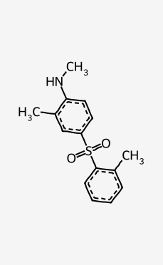 CNc1ccc(S(=O)(=O)c2ccccc2C)cc1C